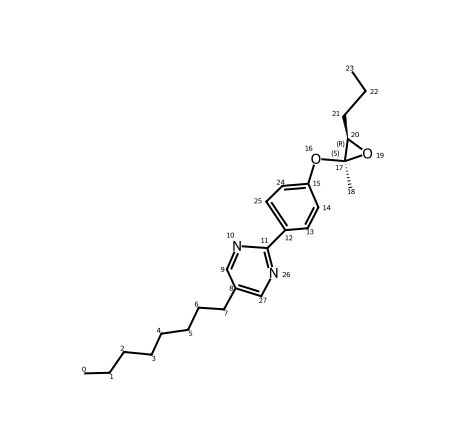 CCCCCCCCc1cnc(-c2ccc(O[C@]3(C)O[C@@H]3CCC)cc2)nc1